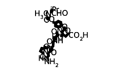 CC(C)C(C=O)N(C)C(=O)OCc1ccc(OC2CC(O)CC(C(=O)O)O2)c(NC(=O)CCNC(=O)CNC(=O)C(CNN)N2C(=O)C=CC2=O)c1